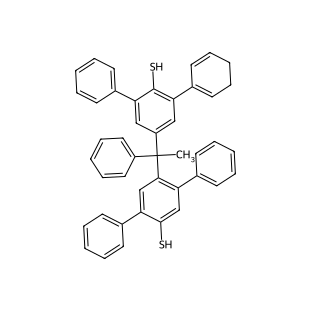 CC(c1ccccc1)(c1cc(C2=CCCC=C2)c(S)c(-c2ccccc2)c1)c1cc(-c2ccccc2)c(S)cc1-c1ccccc1